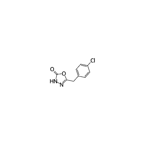 O=c1[nH]nc(Cc2ccc(Cl)cc2)o1